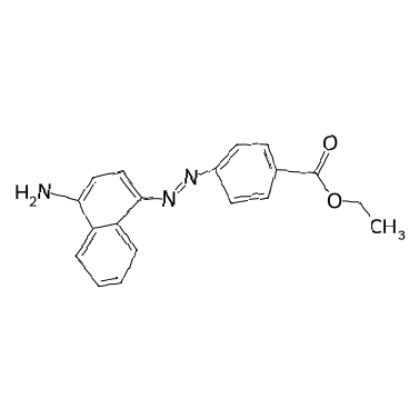 CCOC(=O)c1ccc(/N=N/c2ccc(N)c3ccccc23)cc1